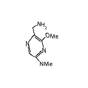 CNc1cnc(CN)c(OC)n1